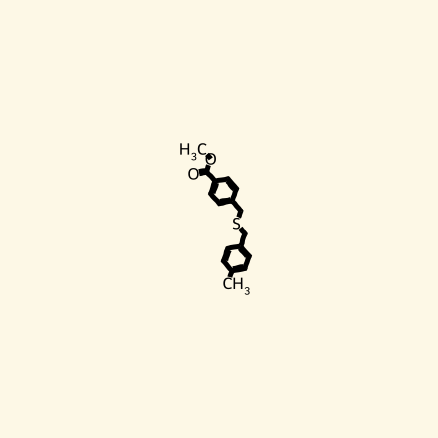 COC(=O)c1ccc(CSCc2ccc(C)cc2)cc1